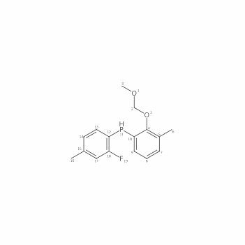 COCOc1c(C)cccc1Pc1ccc(C)cc1F